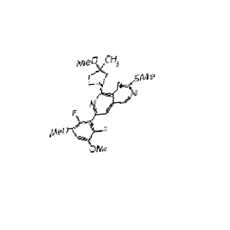 COc1cc(OC)c(F)c(-c2cc3cnc(SC)nc3c(N3CCC(C)(OC)C3)n2)c1F